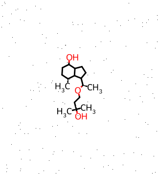 C[C@H]1CCC(O)C2CCC([C@@H](C)OCCC(C)(C)O)C21